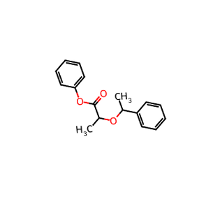 CC(OC(C)c1ccccc1)C(=O)Oc1ccccc1